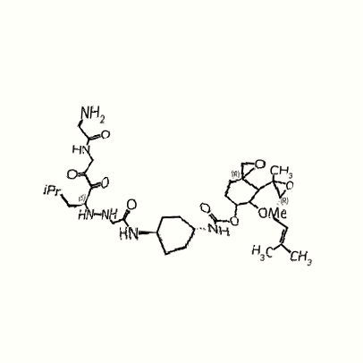 COC1C(OC(=O)N[C@H]2CC[C@H](NC(=O)CNN[C@@H](CC(C)C)C(=O)C(=O)CNC(=O)CN)CC2)CC[C@]2(CO2)C1C1(C)O[C@@H]1CC=C(C)C